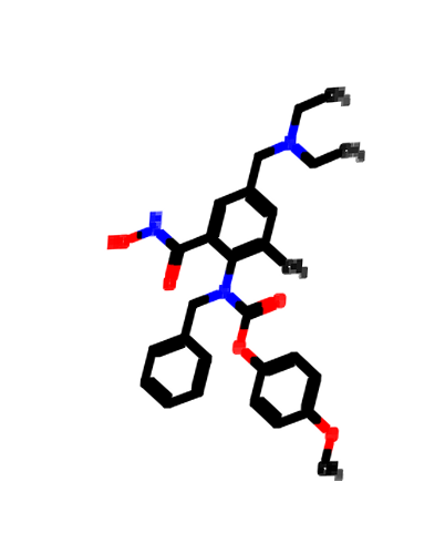 CCN(CC)Cc1cc(C)c(N(Cc2ccccc2)C(=O)Oc2ccc(OC)cc2)c(C(=O)NO)c1